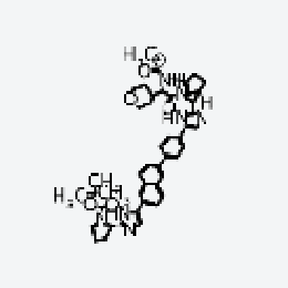 COC(=O)N[C@H](C(=O)N1[C@@H]2CC[C@@H](C2)[C@H]1c1ncc(-c2ccc(-c3ccc4cc(-c5cnc([C@@H]6CCCN6C(=O)OC(C)(C)C)[nH]5)ccc4c3)cc2)[nH]1)C1CCOCC1